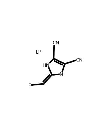 N#CC1=C(C#N)NC(=CF)[N-]1.[Li+]